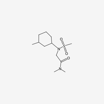 CC1CCCC(N(CC(=O)N(C)C)S(C)(=O)=O)C1